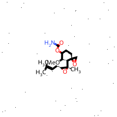 COC1C(OC(N)=O)CC[C@]2(CO2)[C@@H]1[C@@]1(C)O[C@@H]1CC=C(C)C